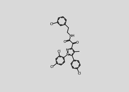 Cc1c(C(=O)C(=O)NCCc2cccc(Cl)c2)nn(-c2ccc(Cl)cc2Cl)c1-c1ccc(Cl)cc1